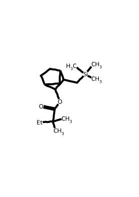 CCC(C)(C)C(=O)OC1C2CCC(C2)C1C[Si](C)(C)C